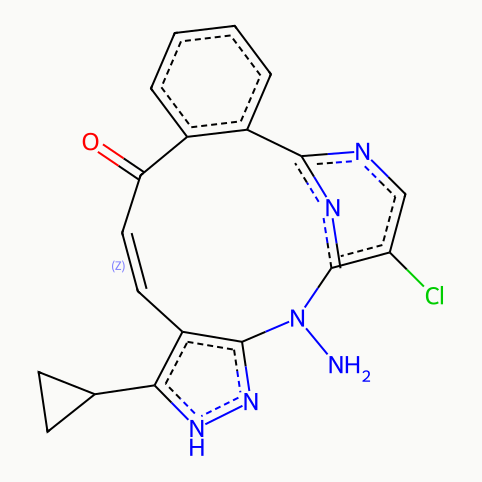 NN1c2nc(ncc2Cl)-c2ccccc2C(=O)/C=C\c2c1n[nH]c2C1CC1